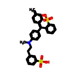 C=c1ccc(=C(c2ccc(N(C)CCc3cccc(S(=O)(=O)O)c3)cc2)c2ccccc2S(=O)(=O)O)cc1